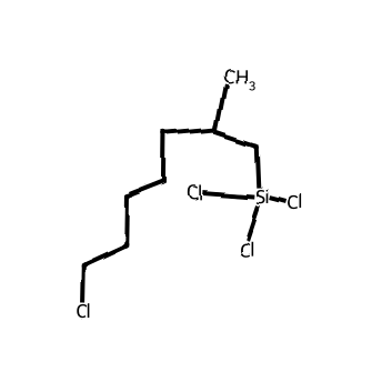 CC(CCCCCCl)C[Si](Cl)(Cl)Cl